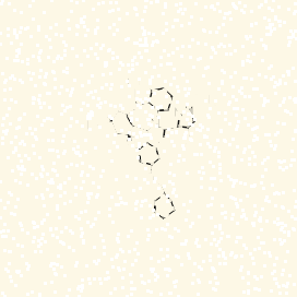 Cn1cc(Cl)c(C(=O)N2c3cccc(O)c3NC3=C(C(=O)CC(C)(C)C3)C2c2ccc(OCc3ccccc3)cc2F)n1